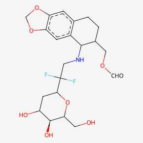 O=COCC1CCc2cc3c(cc2C1NCC(F)(F)C1CC(O)[C@H](O)C(CO)O1)OCO3